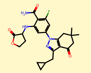 CC1(C)CC(=O)c2c(CC3CC3)nn(-c3cc(F)c(C(N)=O)c(NC4CCOC4=O)c3)c2C1